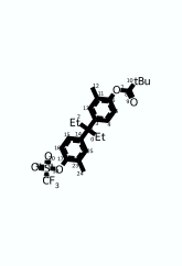 CCC(CC)(c1ccc(OC(=O)C(C)(C)C)c(C)c1)c1ccc(OS(=O)(=O)C(F)(F)F)c(C)c1